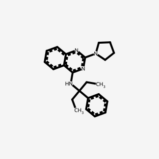 CCC(CC)(Nc1nc(N2CCCC2)nc2ccccc12)c1ccccc1